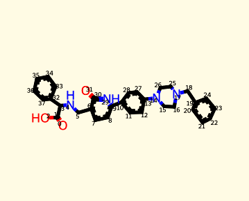 O=C(O)C(NCc1ccc(-c2ccc(N3CCN(Cc4ccccc4)CC3)cc2)[nH]c1=O)c1ccccc1